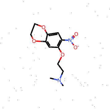 CN(C)CCOc1cc2c(cc1[N+](=O)[O-])OCCO2